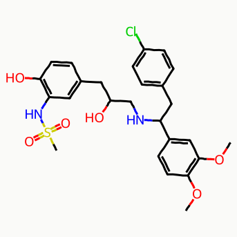 COc1ccc(C(Cc2ccc(Cl)cc2)NCC(O)Cc2ccc(O)c(NS(C)(=O)=O)c2)cc1OC